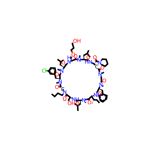 CCCCN1CC(=O)N(C)[C@@H](Cc2cccc(Cl)c2)C(=O)N(C)[C@@H](CC(C)C)C(=O)N[C@@H](COCCCO)C(=O)N(C)[C@@H](CC(C)C)C(=O)N[C@H](C(=O)N2CCCCC2)CC(=O)N(C)CC(=O)N(C)[C@@H](Cc2ccccc2)C(=O)N[C@@H]([C@@H](C)CC)C(=O)N(C)[C@@H](CC(C)C)C(=O)N[C@@H]([C@@H](C)O)C1=O